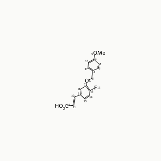 COc1ccc(COc2cc(/C=C/C(=O)O)ccc2F)cc1